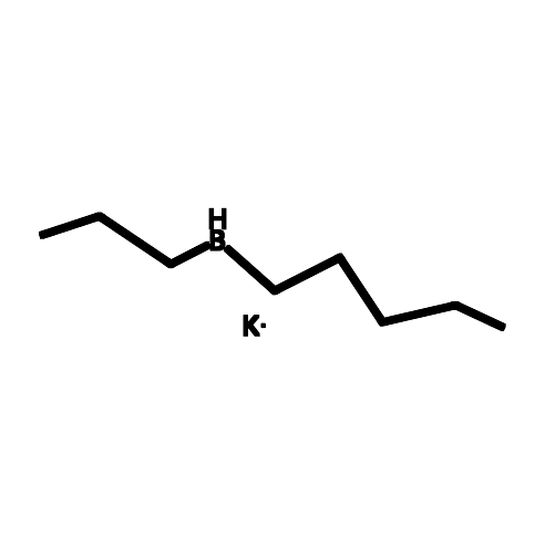 CCCBCCCCC.[K]